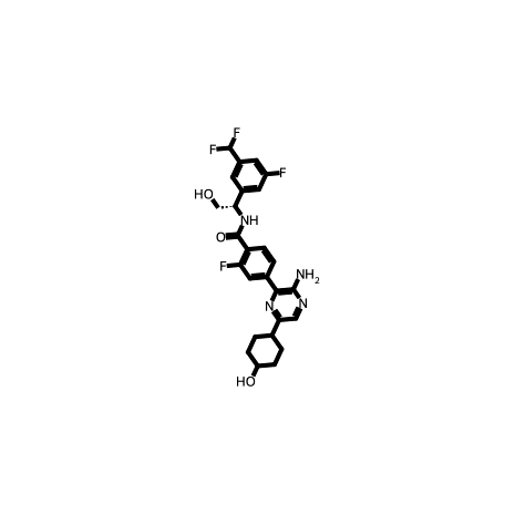 Nc1ncc(C2CCC(O)CC2)nc1-c1ccc(C(=O)N[C@H](CO)c2cc(F)cc(C(F)F)c2)c(F)c1